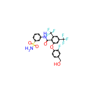 NS(=O)(=O)c1cccc(NC(=O)c2c(Oc3ccc(CO)cc3F)cc(C(F)(F)F)cc2C(F)(F)F)c1